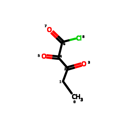 CCC(=O)C(=O)C(=O)Cl